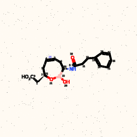 O=C(O)C[C@@H]1C/C=C\C[C@H](NC(=O)CCc2ccccc2)B(O)O1